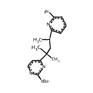 CC(C)c1cccc(C(C)CC(C)(C)c2ccnc(C(C)(C)C)n2)n1